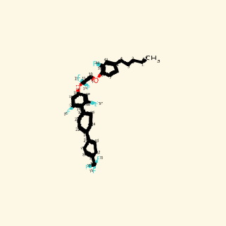 CCCCCc1ccc(OCC(F)(F)Oc2cc(F)c(C3CCC(C4CC=C(C(F)(F)F)CC4)CC3)c(F)c2)c(F)c1